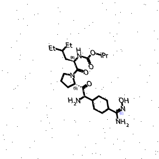 CCC(CC)C[C@@H](NC(=O)OC(C)C)C(=O)N1CCC[C@H]1C(=O)C(N)C1CCC(/C(N)=N\O)CC1